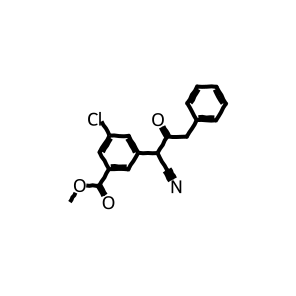 COC(=O)c1cc(Cl)cc(C(C#N)C(=O)Cc2ccccc2)c1